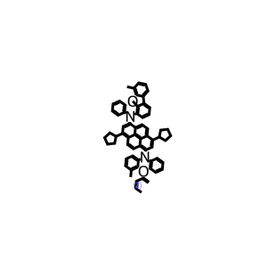 C=C(/C=C\C)Oc1c(C)cccc1N(c1ccccc1)c1cc(C2CCCC2)c2ccc3c(N(c4ccccc4)c4cccc5c4oc4c(C)cccc45)cc(C4CCCC4)c4ccc1c2c43